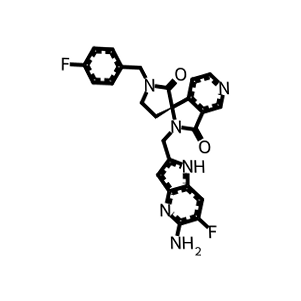 Nc1nc2cc(CN3C(=O)c4cnccc4[C@]34CCN(Cc3ccc(F)cc3)C4=O)[nH]c2cc1F